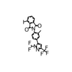 Cc1cc(-c2cc(C(F)(F)F)nn2C(F)F)ccc1N1C(=O)c2cccc(I)c2C1=O